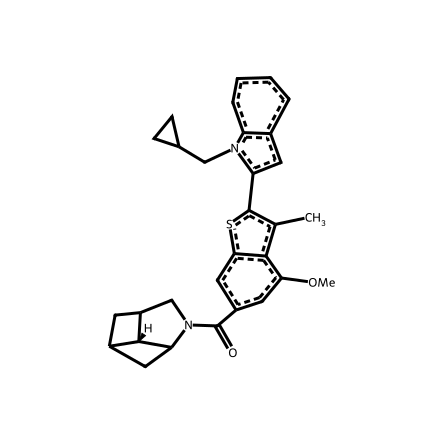 COc1cc(C(=O)N2CC3CC4CC2[C@H]43)cc2sc(-c3cc4ccccc4n3CC3CC3)c(C)c12